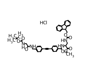 COC(=O)C(CNC(=O)OCC1c2ccccc2-c2ccccc21)NC(=O)c1ccc(C#Cc2ccc(CNC(=O)CNC(=O)OC(C)(C)C)cc2)cc1.Cl